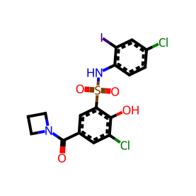 O=C(c1cc(Cl)c(O)c(S(=O)(=O)Nc2ccc(Cl)cc2I)c1)N1CCC1